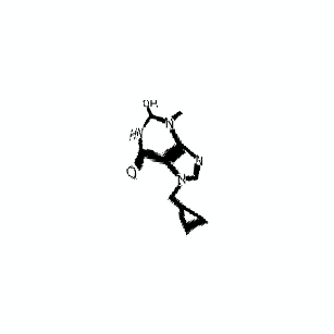 CN1c2ncn(CC3CC3)c2C(=O)NC1O